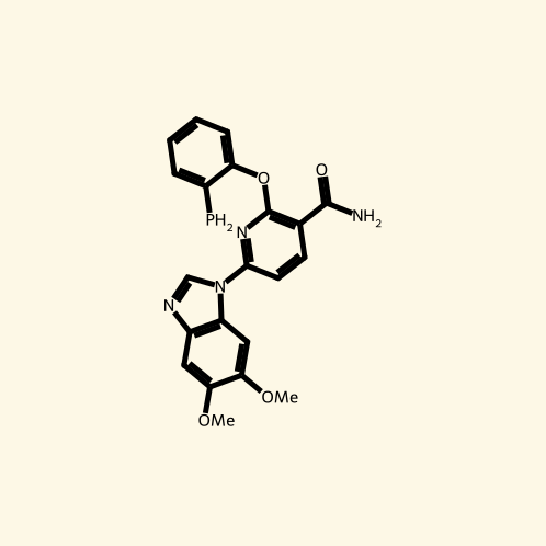 COc1cc2ncn(-c3ccc(C(N)=O)c(Oc4ccccc4P)n3)c2cc1OC